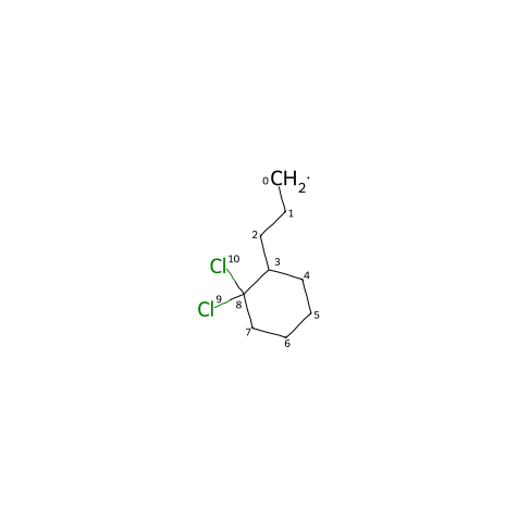 [CH2]CCC1CCCCC1(Cl)Cl